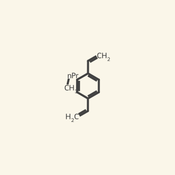 C=Cc1ccc(C=C)cc1.CCCC